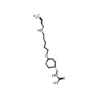 C=CCCNCCCCCO[C@H]1CC[C@H](CNC(=S)S)CC1